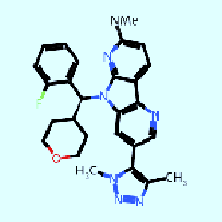 CNc1ccc2c3ncc(-c4c(C)nnn4C)cc3n([C@H](c3ccccc3F)C3CCOCC3)c2n1